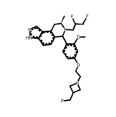 COc1cc(OCCN2CC(CF)C2)ccc1C1c2ccc3[nH]ncc3c2C[C@@H](C)N1CC(F)CF